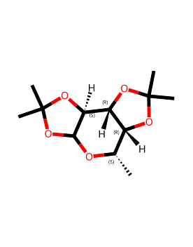 C[C@@H]1OC2OC(C)(C)O[C@H]2[C@@H]2OC(C)(C)O[C@@H]21